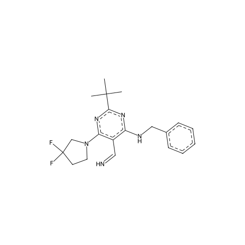 CC(C)(C)c1nc(NCc2ccccc2)c(C=N)c(N2CCC(F)(F)C2)n1